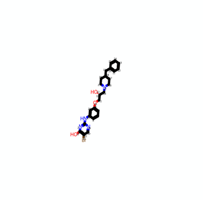 Oc1nc(Nc2cccc(OC[C@H](O)CN3CCC(Cc4ccccc4)CC3)c2)ncc1Br